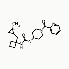 C[C@H]1CC1CC1(NC(=O)NC2CCN(C(=O)c3ccccn3)CC2)CCC1